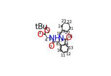 CC(C)(C)OC(=O)CNC(=O)C1c2ccccc2C(=O)N1CC1CCCCC1